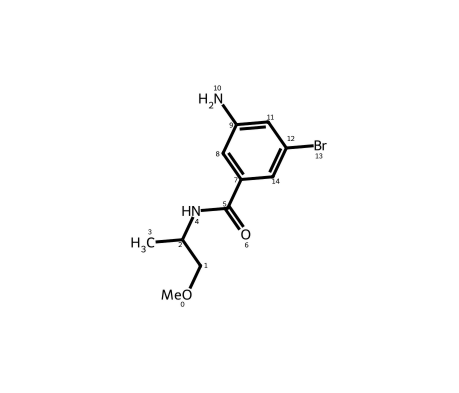 COCC(C)NC(=O)c1cc(N)cc(Br)c1